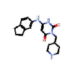 O=c1cc(Nc2ccc3c(c2)CCC3)[nH]c(=O)n1CC1CCNCC1